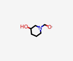 [O]CN1CCCC(O)C1